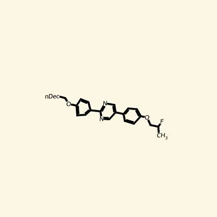 CCCCCCCCCCCOc1ccc(-c2ncc(-c3ccc(OCC(C)F)cc3)cn2)cc1